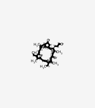 CCC1=C(C)c2cc3[nH]c(c(C)c3CC)c(Br)c3nc(c4c5[nH]c(cc1n2)c(C)c5C(=O)C4)[C@@H](CCC=O)[C@@H]3C